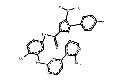 Cc1ccc(NC(=O)c2cc([S+](C)[O-])n(-c3ccc(F)cc3)n2)cc1Nc1nccc(-c2cccnc2N)n1